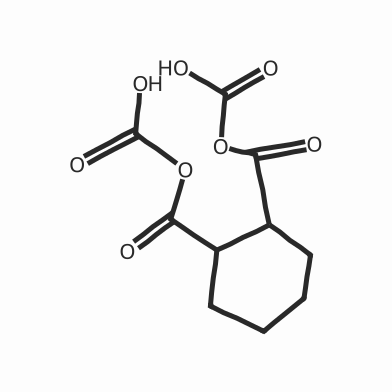 O=C(O)OC(=O)C1CCCCC1C(=O)OC(=O)O